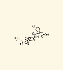 CCCC(=O)c1cnn(-c2cnc(NC(=O)c3cn(CC(=O)O)c4ccc(Cl)cc34)cn2)c1C